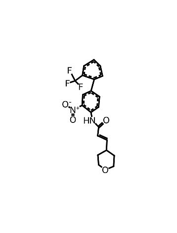 O=C(C=CC1CCOCC1)Nc1ccc(-c2ccccc2C(F)(F)F)cc1[N+](=O)[O-]